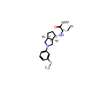 CNC(=O)[C@H](CC(C)C)N[C@H]1CC[C@@H]2CN(c3cccc(SC(F)(F)F)c3)C[C@@H]21